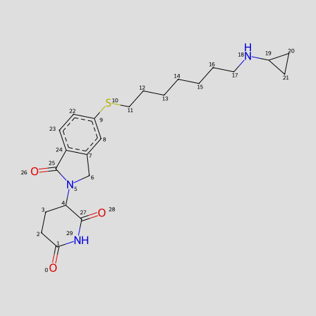 O=C1CCC(N2Cc3cc(SCCCCCCCNC4CC4)ccc3C2=O)C(=O)N1